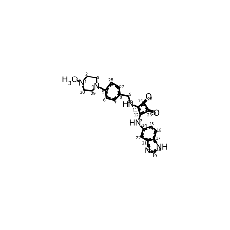 CN1CCN(c2ccc(CNc3c(Nc4ccc5[nH]cnc5c4)c(=O)c3=O)cc2)CC1